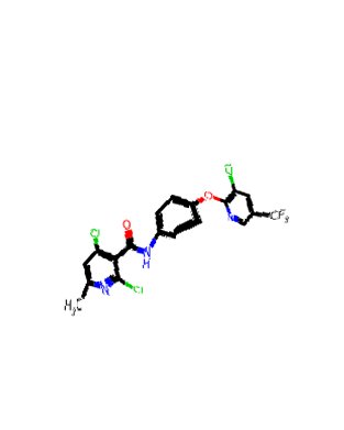 Cc1cc(Cl)c(C(=O)Nc2ccc(Oc3ncc(C(F)(F)F)cc3Cl)cc2)c(Cl)n1